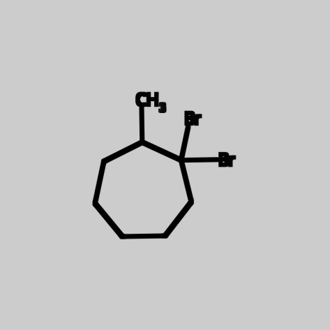 CC1CCCCCC1(Br)Br